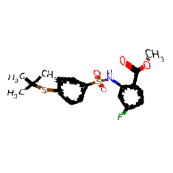 COC(=O)c1ccc(F)cc1NS(=O)(=O)c1ccc(SC(C)(C)C)cc1